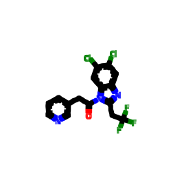 O=C(Cc1cccnc1)n1c(CC(F)(F)F)nc2cc(Cl)c(Cl)cc21